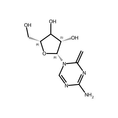 C=C1N=C(N)N=CN1[C@@H]1O[C@H](CO)C(O)[C@@H]1O